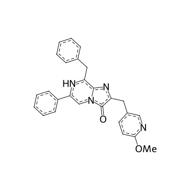 COc1ccc(Cc2nc3c(Cc4ccccc4)[nH]c(-c4ccccc4)cn-3c2=O)cn1